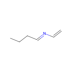 C=CN=CCCC